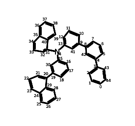 c1ccc(-c2cccc(-c3cccc(N(c4cccc(-c5cccc6ccccc56)c4)c4cccc5ccccc45)c3)c2)cc1